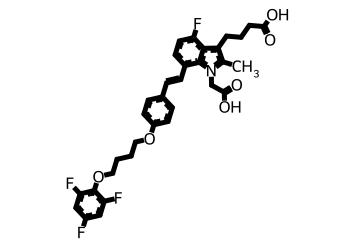 Cc1c(CCCC(=O)O)c2c(F)ccc(C=Cc3ccc(OCCCCOc4c(F)cc(F)cc4F)cc3)c2n1CC(=O)O